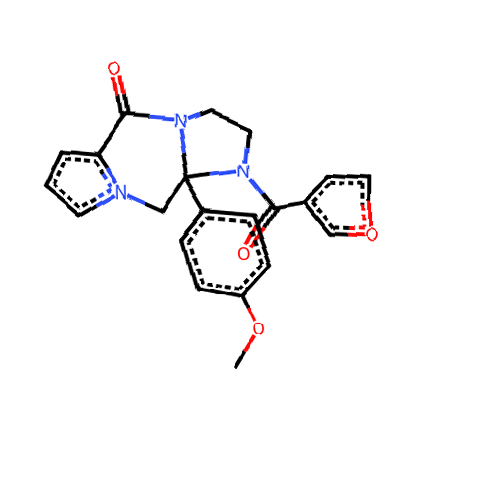 COc1ccc(C23Cn4cccc4C(=O)N2CCN3C(=O)c2ccoc2)cc1